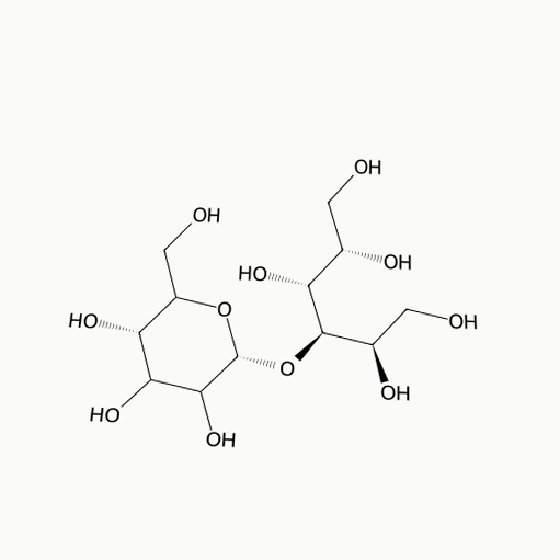 OCC1O[C@H](O[C@@H]([C@H](O)[C@@H](O)CO)[C@H](O)CO)C(O)C(O)[C@@H]1O